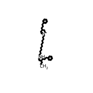 C=C/C=C(\C=C/NCCCCCCCCCCCC[N+]1=CCC(CCCc2ccccc2)C=C1)CCCc1ccccc1